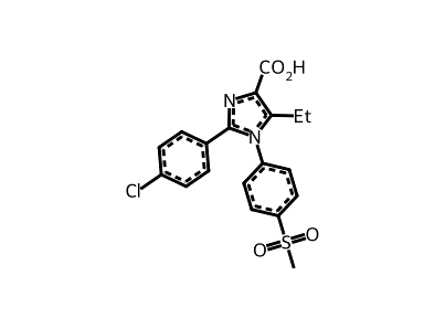 CCc1c(C(=O)O)nc(-c2ccc(Cl)cc2)n1-c1ccc(S(C)(=O)=O)cc1